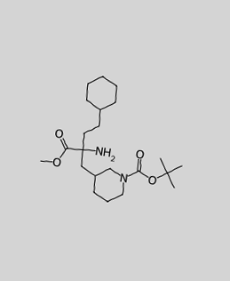 COC(=O)C(N)(CCC1CCCCC1)CC1CCCN(C(=O)OC(C)(C)C)C1